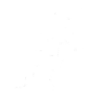 C=C(CCC)c1ccc2c3c(OCC)cc(C(=C)CC)c4c(C(=C)CCC)cc(OCC)c(c5ccc(C(=C)CCC)c1c25)c43